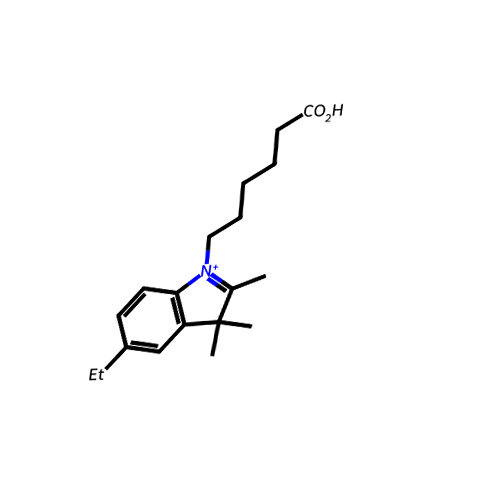 CCc1ccc2c(c1)C(C)(C)C(C)=[N+]2CCCCCC(=O)O